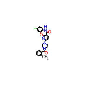 O=C1Nc2ccc(F)cc2Oc2nc(N3CCN(C(=O)c4ccccc4C(F)(F)F)CC3)ccc21